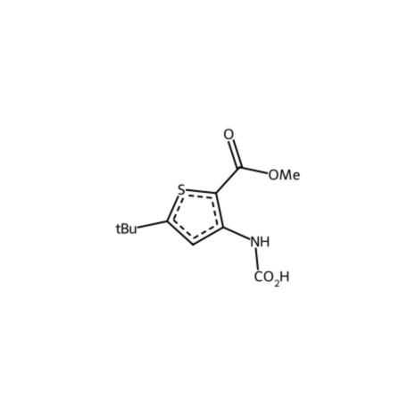 COC(=O)c1sc(C(C)(C)C)cc1NC(=O)O